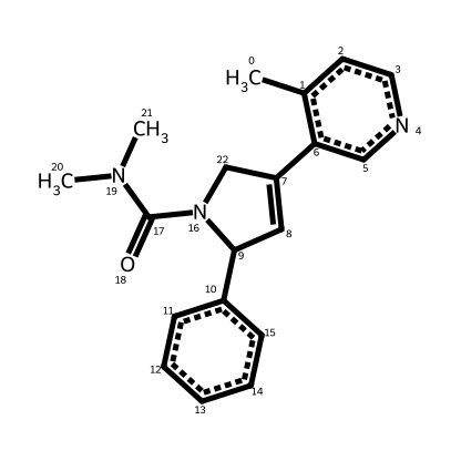 Cc1ccncc1C1=CC(c2ccccc2)N(C(=O)N(C)C)C1